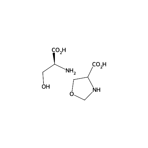 N[C@@H](CO)C(=O)O.O=C(O)C1COCN1